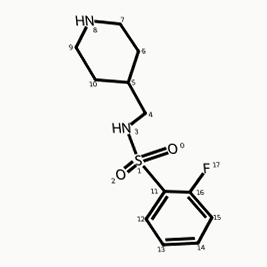 O=S(=O)(NCC1CCNCC1)c1ccccc1F